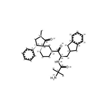 CN1C[C@@H](c2ccccc2)[C@@]2(CCCN(C(=O)[C@@H](CC3Cc4ccccc4C3)NC(=O)C(C)(C)N)C2)C1=O